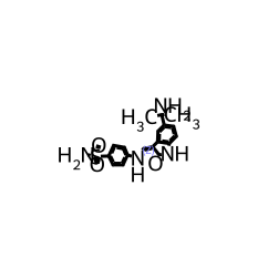 CC(C)(N)c1ccc2c(c1)/C(=C/Nc1ccc(S(N)(=O)=O)cc1)C(=O)N2